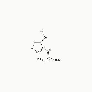 CCOC1CCc2ccc(OC)cc21